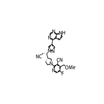 COCc1c(F)cnc(N2CC[C@H]([C@H](CC#N)n3cc(-c4ncnc5[nH]ccc45)cn3)C2)c1C#N